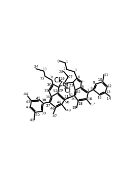 CCCCC1=Cc2c(-c3cc(C)cc(C)c3)c(C)c(C)c(C)c2[CH]1[Zr]([Cl])([Cl])([CH2]C)[CH]1C(CCCC)=Cc2c(-c3cc(C)cc(C)c3)c(C)c(C)c(C)c21